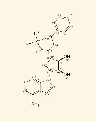 Nc1ncnc2c1ncn2[C@@H]1O[C@H](C(CCc2ccncc2)OC(F)(F)F)[C@@H](O)[C@H]1O